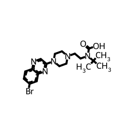 CC(C)(C)N(CCN1CCN(c2cnc3ccc(Br)cc3n2)CC1)C(=O)O